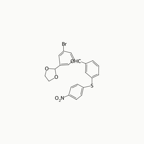 Brc1cccc(C2OCCO2)c1.O=Cc1cccc(Sc2ccc([N+](=O)[O-])cc2)c1